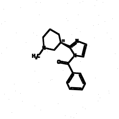 CN1CCC[C@@H](c2nccn2C(=O)c2ccccc2)C1